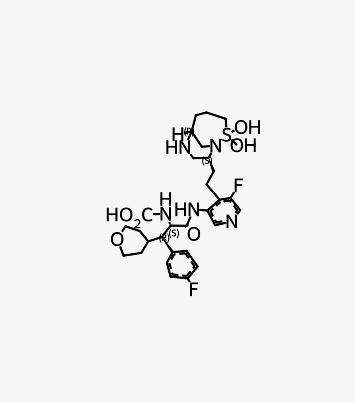 O=C(O)N[C@H](C(=O)Nc1cncc(F)c1CC[C@H]1CN[C@@H]2CCCS(O)(O)N1C2)[C@@H](c1ccc(F)cc1)C1CCOCC1